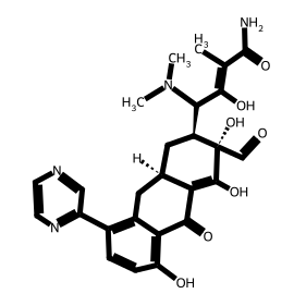 C/C(C(N)=O)=C(/O)C([C@@H]1C[C@@H]2Cc3c(-c4cnccn4)ccc(O)c3C(=O)C2=C(O)[C@]1(O)C=O)N(C)C